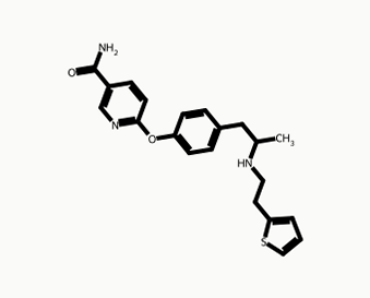 CC(Cc1ccc(Oc2ccc(C(N)=O)cn2)cc1)NCCc1cccs1